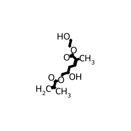 C=C(C)C(=O)OCC(O)CC=C(C)C(=O)OCCO